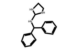 c1ccc(C(NC2NCCN2)c2ccccc2)cc1